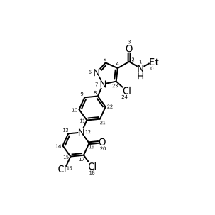 CCNC(=O)c1cnn(-c2ccc(-n3ccc(Cl)c(Cl)c3=O)cc2)c1Cl